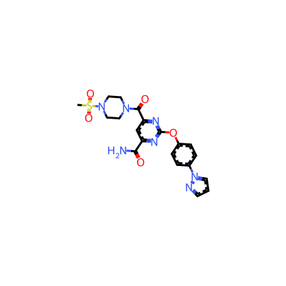 CS(=O)(=O)N1CCN(C(=O)c2cc(C(N)=O)nc(Oc3ccc(-n4cccn4)cc3)n2)CC1